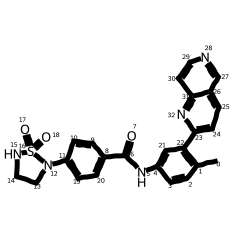 Cc1ccc(NC(=O)c2ccc(N3CCNS3(=O)=O)cc2)cc1-c1ccc2cnccc2n1